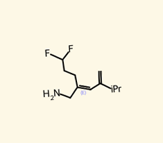 C=C(/C=C(/CN)CCC(F)F)C(C)C